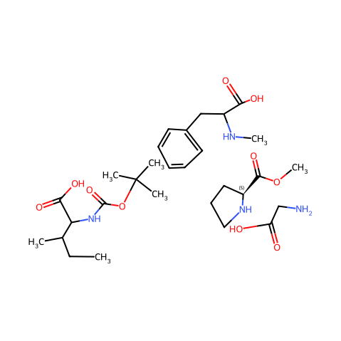 CCC(C)C(NC(=O)OC(C)(C)C)C(=O)O.CNC(Cc1ccccc1)C(=O)O.COC(=O)[C@@H]1CCCN1.NCC(=O)O